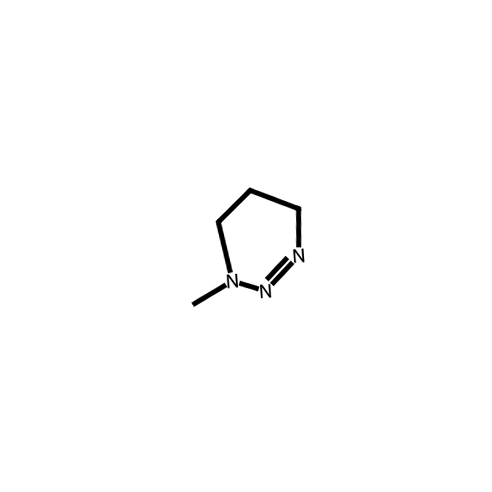 CN1CCCN=N1